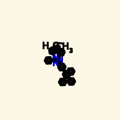 CC1(C)c2ccccc2-c2c(-c3nc(-c4ccccc4)nc(-c4ccc(-c5cc6c7ccccc7c7ccccc7c6c6ccccc56)cc4)n3)cccc21